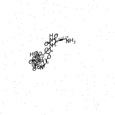 N#C/C=C/O[C@H]1C[C@H](n2cc(C#CCN)c(=O)[nH]c2=O)O[C@@H]1COP(=O)(O)OP(=O)(O)OP(=O)(O)O